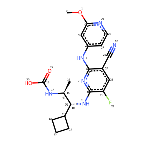 COc1cc(Nc2nc(N[C@H](C3CCC3)[C@H](C)NC(=O)O)c(F)cc2C#N)ccn1